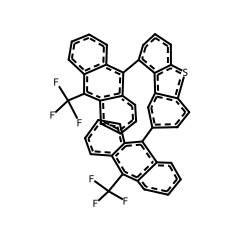 FC(F)(F)c1c2ccccc2c(-c2ccc3sc4cccc(-c5c6ccccc6c(C(F)(F)F)c6ccccc56)c4c3c2)c2ccccc12